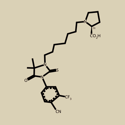 CC1(C)C(=O)N(c2ccc(C#N)c(C(F)(F)F)c2)C(=S)N1CCCCCCCN1CCC[C@H]1C(=O)O